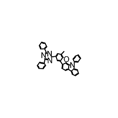 Cc1cc(-c2nc(-c3ccccc3)nc(-c3ccccc3)n2)cc2c1oc1c2ccc2c3ccccc3n(-c3ccccc3)c21